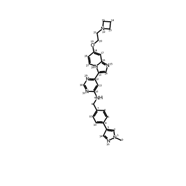 Cn1cc(-c2ccc(CNc3cc(-c4cnc5cc(OCCN6CCC6)ccn45)ncn3)cc2)cn1